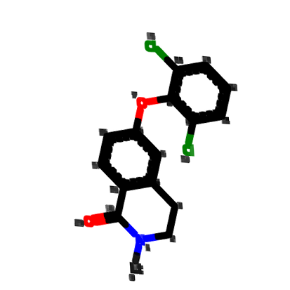 CCN1CCc2cc(Oc3c(Cl)cccc3Cl)ccc2C1=O